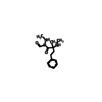 CNN(C=O)C(=O)C(C)(CCc1ccccc1)NC